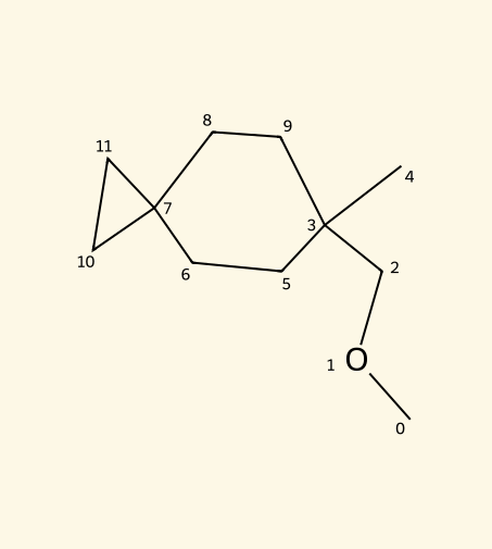 COCC1(C)CCC2(CC1)CC2